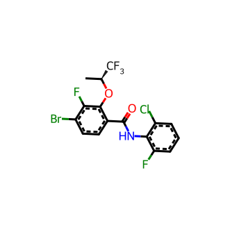 C[C@H](Oc1c(C(=O)Nc2c(F)cccc2Cl)ccc(Br)c1F)C(F)(F)F